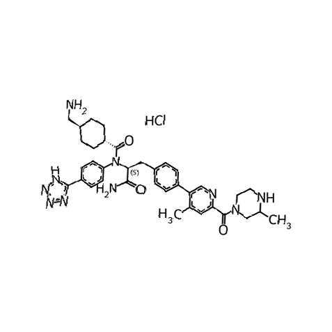 Cc1cc(C(=O)N2CCNC(C)C2)ncc1-c1ccc(C[C@@H](C(N)=O)N(c2ccc(-c3nnn[nH]3)cc2)C(=O)[C@H]2CC[C@H](CN)CC2)cc1.Cl